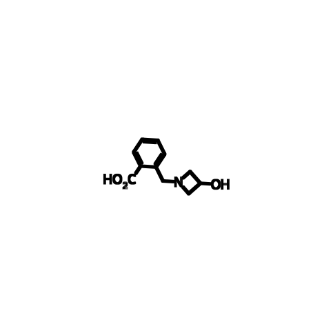 O=C(O)c1ccccc1CN1CC(O)C1